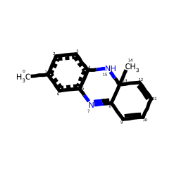 Cc1ccc2c(c1)N=C1C=CC=CC1(C)N2